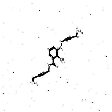 CCC#CCOC(=O)c1cccc(OCC#CCC)c1C